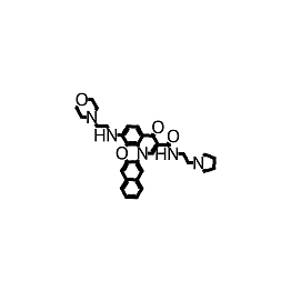 O=C(NCCN1CCCC1)c1cn2c3c(c(NCCN4CCOCC4)ccc3c1=O)Oc1cc3ccccc3cc1-2